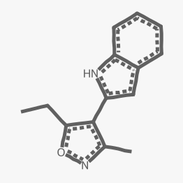 CCc1onc(C)c1-c1cc2ccccc2[nH]1